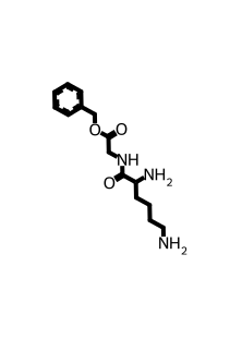 NCCCCC(N)C(=O)NCC(=O)OCc1ccccc1